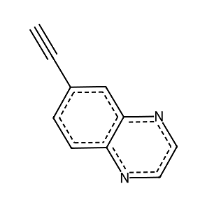 C#Cc1ccc2nccnc2c1